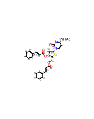 CC(=O)Nc1ccn([C@@H]2S[C@H](COC(=O)/C=C/c3ccccc3)C(OC(=O)/C=C/c3ccccc3)[C@@H]2F)c(=O)n1